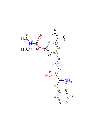 C=C(C)c1cc(CNC[C@@H](O)[C@@H](N)Cc2ccccc2)cc(OC(=O)N(C)C)c1